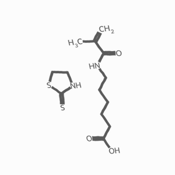 C=C(C)C(=O)NCCCCCC(=O)O.S=C1NCCS1